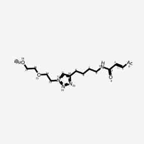 CC(=O)/C=C/C(=O)NCCCCc1cn(CCOCCOCC(C)C)nn1